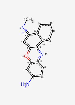 C/N=c1/cc2oc3cc(N)ccc3nc-2c2ccccc12